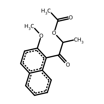 COc1ccc2ccccc2c1C(=O)C(C)OC(C)=O